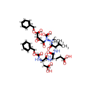 CC(C)[C@H](NC(=O)[C@H](CCC(=O)O)NC(=O)[C@H](CC(=O)O)NC(=O)OCc1ccccc1)C(=O)N(C)N(C(=O)O)C(=O)C1OC1C(=O)OCc1ccccc1